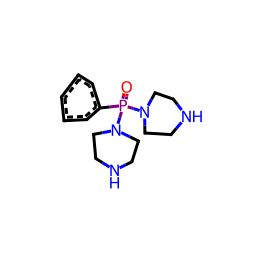 O=P(c1ccccc1)(N1CCNCC1)N1CCNCC1